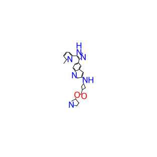 Cc1cccc(-c2[nH]cnc2-c2ccc3ncc(NC4CC(C(=O)O[C@H]5CCN(C)C5)C4)cc3c2)n1